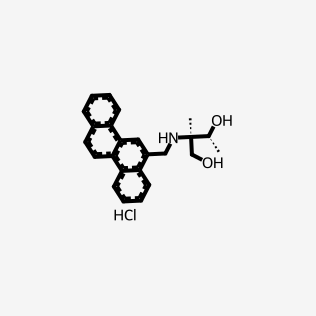 C[C@@H](O)[C@@](C)(CO)NCc1cc2c3ccccc3ccc2c2ccccc12.Cl